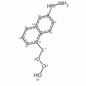 NNc1ccc2c(SOOO)cccc2c1